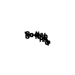 CCOC(=O)c1ccc(-c2cnc(Nc3cccc(C(=O)NCc4ccc(C)o4)c3)nc2)cc1